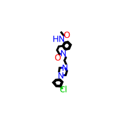 CC(=O)Nc1cccc2c1CCC(=O)N2CCCN1CCN(c2cccc(Cl)c2)CC1